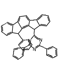 c1ccc(-c2nc(-c3ccccc3)nc(C3c4ccccc4-c4ccc5c(c43)C(c3ccccc3)c3ccccc3-5)n2)cc1